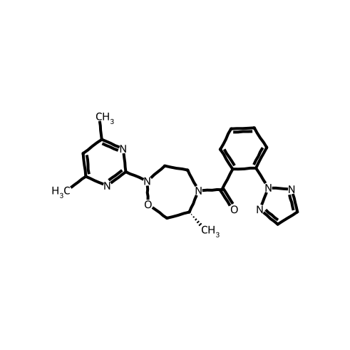 Cc1cc(C)nc(N2CCN(C(=O)c3ccccc3-n3nccn3)[C@H](C)CO2)n1